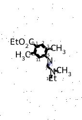 CCOC(=O)c1cc(C)c(/N=C/N(C)CC)cc1C